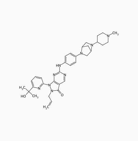 C=CCn1c(=O)c2cnc(Nc3ccc(N4CC5CC4CN5C4CCN(C)CC4)cc3)nc2n1-c1cccc(C(C)(C)O)n1